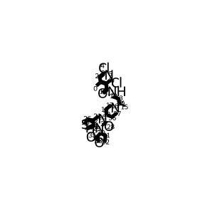 Cc1cc(Cl)nc(Cl)c1C(=O)NCC[C@@H](C)N1CCC(N(Cc2ccsc2)C(=O)NC2CCOC2=O)CC1